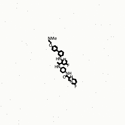 C=C(N[C@H]1CC[C@@H](NC(=O)c2cn3cc(F)ccc3n2)CC1)c1cc(F)cnc1Nc1cccc(-c2ccc(OCCNC)cc2)c1